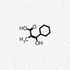 CC(C(=O)O)=C(O)C1CCCCC1